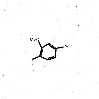 COc1cc([C](C)C)ccc1I